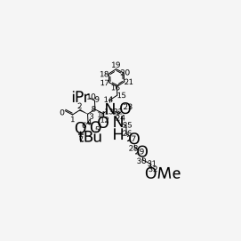 C=CC[C@H](C(=O)OC(C)(C)C)C(CC(C)C)C(=O)N(CCc1ccccc1)C(=O)NCCOCOCCOC